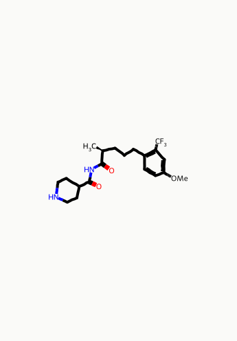 COc1ccc(CCC[C@H](C)C(=O)NC(=O)C2CCNCC2)c(C(F)(F)F)c1